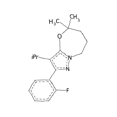 CC(C)c1c(-c2ccccc2F)nn2c1OC(C)(C)CCC2